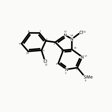 CSc1ncc2c(-c3ccccc3Cl)nn(Cl)c2n1